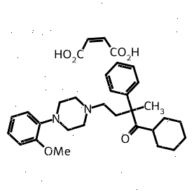 COc1ccccc1N1CCN(CCC(C)(C(=O)C2CCCCC2)c2ccccc2)CC1.O=C(O)/C=C\C(=O)O